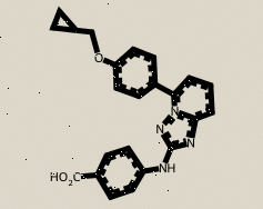 O=C(O)c1ccc(Nc2nc3cccc(-c4ccc(OCC5CC5)cc4)n3n2)cc1